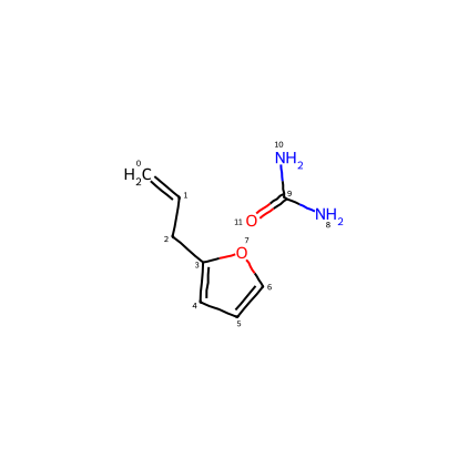 C=CCc1ccco1.NC(N)=O